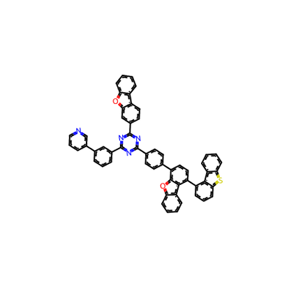 c1cncc(-c2cccc(-c3nc(-c4ccc(-c5ccc(-c6cccc7sc8ccccc8c67)c6c5oc5ccccc56)cc4)nc(-c4ccc5c(c4)oc4ccccc45)n3)c2)c1